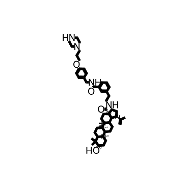 C=C(C)[C@@H]1CC[C@]2(C(=O)NCCc3cccc(C(=O)NCc4ccc(OCCCN5CCNCC5)cc4)c3)CC[C@]3(C)C(CCC4[C@@]5(C)CC[C@H](O)C(C)(C)C5CC[C@]43C)C12